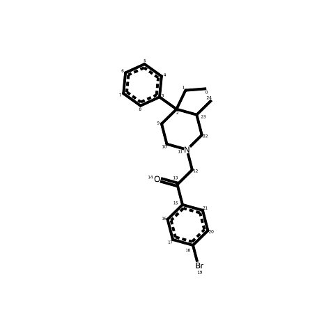 CCC1(c2ccccc2)CCN(CC(=O)c2ccc(Br)cc2)CC1C